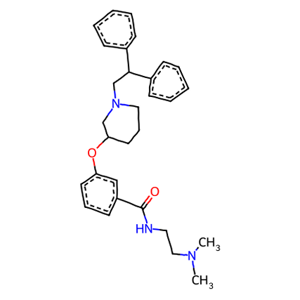 CN(C)CCNC(=O)c1cccc(OC2CCCN(CC(c3ccccc3)c3ccccc3)C2)c1